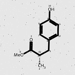 COC(=O)[C@@H](C)Cc1ccc(O)cc1